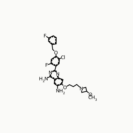 COC1CN(CCCOc2cc3nc(-c4cc(Cl)c(OCc5cccc(F)c5)cc4F)nc(N)c3cc2N)C1